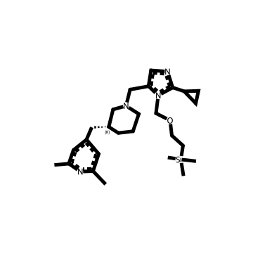 Cc1cc(C[C@H]2CCCN(Cc3cnc(C4CC4)n3COCC[Si](C)(C)C)C2)cc(C)n1